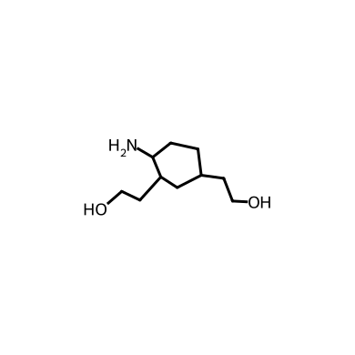 NC1CCC(CCO)CC1CCO